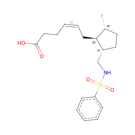 O=C(O)CC/C=C\C[C@@H]1[C@@H](CNS(=O)(=O)c2ccccc2)CC[C@H]1F